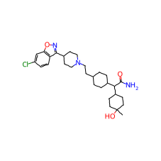 CC1(O)CCC(C(C(N)=O)C2CCC(CCN3CCC(c4noc5cc(Cl)ccc45)CC3)CC2)CC1